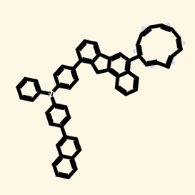 C1=C\C=C/C=C(c2cc3c(c4ccccc24)Cc2c(-c4ccc(N(c5ccccc5)c5ccc(-c6ccc7ccccc7c6)cc5)cc4)cccc2-3)\C=C\C=C\C=C/1